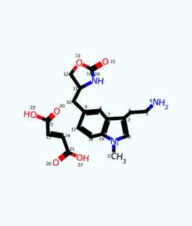 Cn1cc(CCN)c2cc(CC3COC(=O)N3)ccc21.O=C(O)C=CC(=O)O